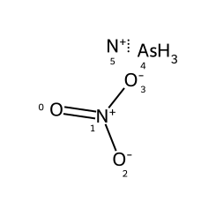 O=[N+]([O-])[O-].[AsH3].[N+]